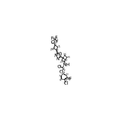 O=C(COc1ccc(Cl)c(F)c1)NC1CC2(c3nnc(C4CC(OC(F)(F)F)C4)o3)CCC12